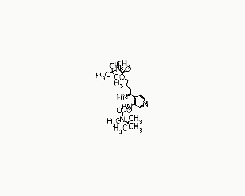 CN(C(=O)OCCCC(=N)c1ccncc1NOC(=O)N(C)C(C)(C)C)C(C)(C)C